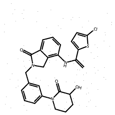 C=C(Nc1cccc2c1CN(Cc1cccc(N3CCCC(O)C3=O)c1)C2=O)c1ccc(Cl)s1